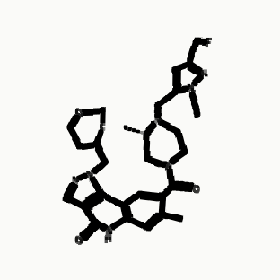 Cc1cc2[nH]c(=O)c3cnn(CC4CCOCC4)c3c2cc1C(=O)N1CCN(Cc2cc(CF)nn2C)[C@@H](C)C1